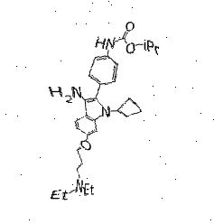 CCN(CC)CCCOc1ccc2c(N)c(-c3ccc(NC(=O)OC(C)C)cc3)n(C3CCC3)c2c1